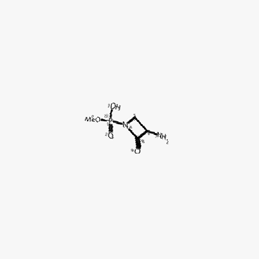 CO[P@@](=O)(O)N1CC(N)C1=O